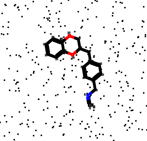 C=NCc1ccc(CC2COc3ccccc3O2)cc1